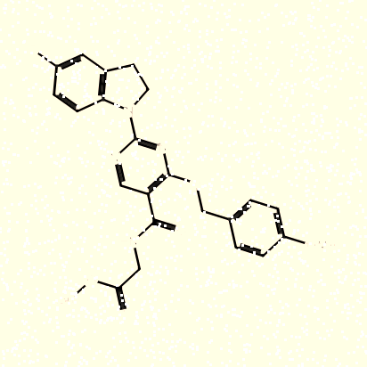 COc1ccc(COc2nc(N3CCc4cc(F)ccc43)ncc2C(=O)NCC(=O)OC(C)(C)C)cc1